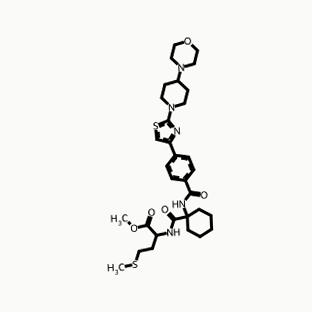 COC(=O)C(CCSC)NC(=O)C1(NC(=O)c2ccc(-c3csc(N4CCC(N5CCOCC5)CC4)n3)cc2)CCCCC1